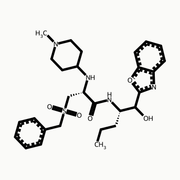 CCC[C@H](NC(=O)[C@H](CS(=O)(=O)Cc1ccccc1)NC1CCN(C)CC1)C(O)c1nc2ccccc2o1